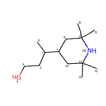 CC(CCO)C1CC(C)(C)NC(C)(C)C1